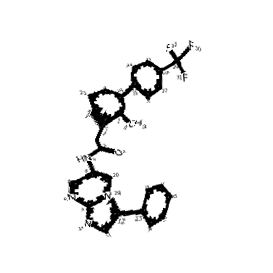 Cc1c(C(=O)Nc2cnc3ncc(-c4ccccc4)n3c2)cccc1-c1ccc(C(F)(F)F)cc1